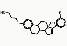 C[C@]12CCC3c4ccc(OCCCO)cc4CCC3C1CC=C2c1cncc(F)c1